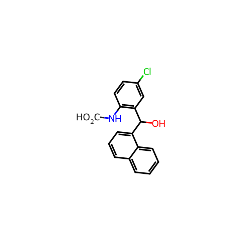 O=C(O)Nc1ccc(Cl)cc1C(O)c1cccc2ccccc12